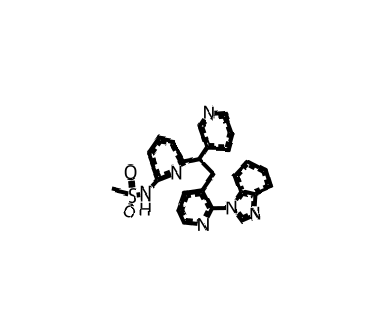 CS(=O)(=O)Nc1cccc(C(Cc2cccnc2-n2cnc3ccccc32)c2cccnc2)n1